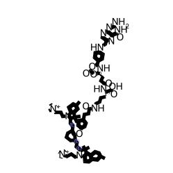 Cc1ccc2c(c1)C(C)(C)C(/C=C/C1=C(Oc3ccc(CCC(=O)NCCCC[C@H](NC(=O)CC[C@H](NC(=O)c4ccc(NCc5cnc6nc(N)[nH]c(=O)c6n5)cc4)OC=O)C(=O)O)cc3)C(=C/C=C3/N(CCC[N+](C)(C)C)c4ccc5cc(C)ccc5c4C3(C)C)/CCC1)=[N+]2CCC[N+](C)(C)C